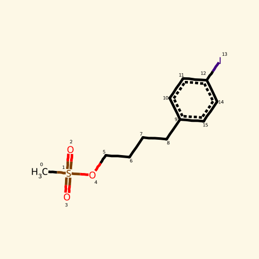 CS(=O)(=O)OCCCCc1ccc(I)cc1